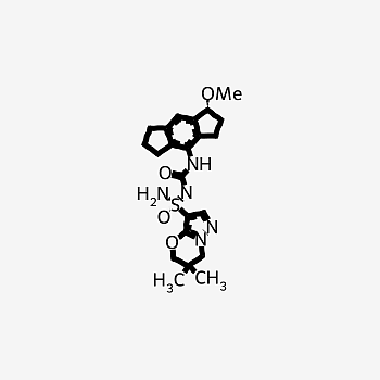 CO[C@@H]1CCc2c1cc1c(c2NC(=O)N=[S@@](N)(=O)c2cnn3c2OCC(C)(C)C3)CCC1